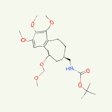 COCOC1C[C@H](CNC(=O)OC(C)(C)C)CCc2c1cc(OC)c(OC)c2OC